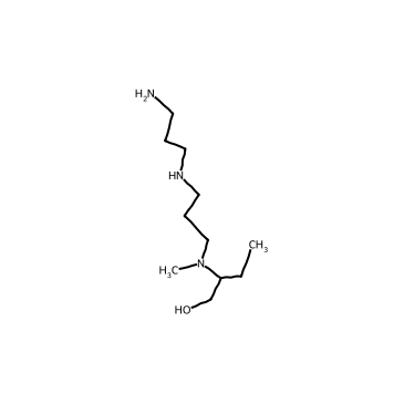 CCC(CO)N(C)CCCNCCCN